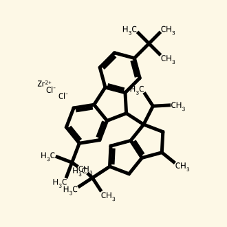 CC1CC(C(C)C)(C2c3cc(C(C)(C)C)ccc3-c3ccc(C(C)(C)C)cc32)C2=C1CC(C(C)(C)C)=C2.[Cl-].[Cl-].[Zr+2]